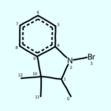 CC1N(Br)c2ccccc2C1(C)C